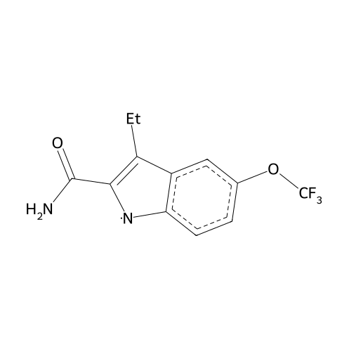 CCC1=C(C(N)=O)[N]c2ccc(OC(F)(F)F)cc21